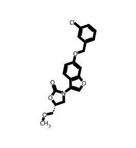 COC[C@H]1CN(c2coc3cc(OCc4cccc(Cl)c4)ccc23)C(=O)O1